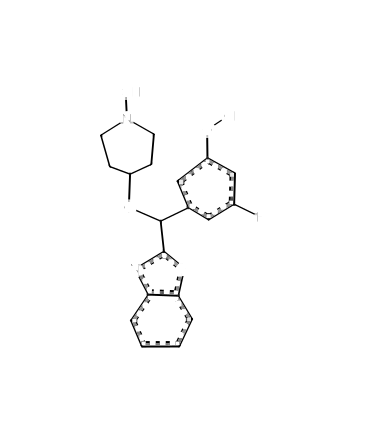 COc1cc(F)cc(C(OC2CCN(C)CC2)c2nc3ccccc3s2)c1